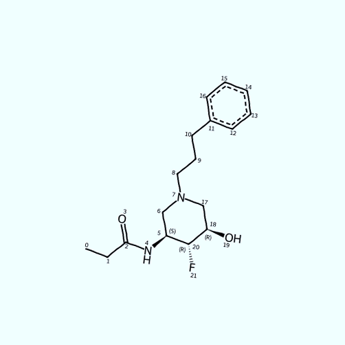 CCC(=O)N[C@H]1CN(CCCc2ccccc2)C[C@@H](O)[C@@H]1F